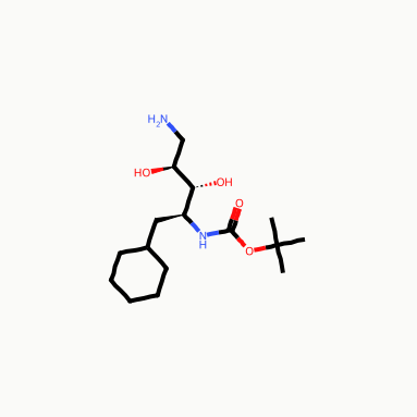 CC(C)(C)OC(=O)N[C@@H](CC1CCCCC1)[C@@H](O)[C@@H](O)CN